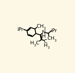 CC(C)=C(NC(C)C(C)C)C1C=CC(C(C)C)=CC1C